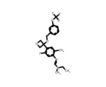 CCN(C)C=Nc1cc(F)c(C2(OCc3cccc(OC(F)(F)F)c3)COC2)cc1C